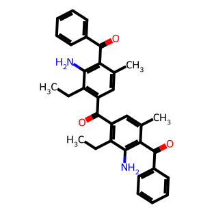 CCc1c(C(=O)c2cc(C)c(C(=O)c3ccccc3)c(N)c2CC)cc(C)c(C(=O)c2ccccc2)c1N